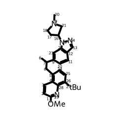 COc1ccc2c(CC(C)c3ccc4cnn(C5CCN(C)C5)c4c3)ccc(C(C)(C)C)c2n1